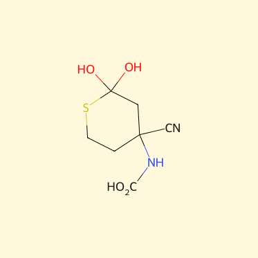 N#CC1(NC(=O)O)CCSC(O)(O)C1